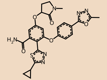 Cc1nnc(-c2ccc(Oc3cc(OC4CCN(C)C4=O)cc(C(N)=O)c3-c3nnc(C4CC4)s3)cc2)o1